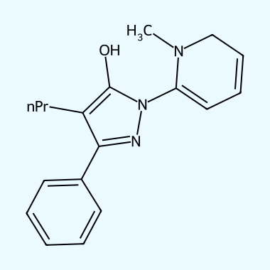 CCCc1c(-c2ccccc2)nn(C2=CC=CCN2C)c1O